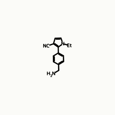 CCn1ccc(C#N)c1-c1ccc(CN)cc1